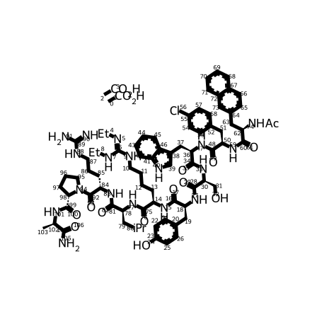 CC(=O)O.CC(=O)O.CC/N=C(\NCC)NCCCC[C@@H](NC(=O)[C@H](Cc1ccc(O)cc1)NC(=O)[C@H](CO)NC(=O)[C@@H](Cc1c[nH]c2ccccc12)NC(=O)[C@@H](Cc1ccc(Cl)cc1)NC(=O)[C@@H](Cc1ccc2ccccc2c1)NC(C)=O)C(=O)N[C@@H](CC(C)C)C(=O)N[C@@H](CCCNC(=N)N)C(=O)N1CCC[C@H]1C(=O)N[C@H](C)C(N)=O